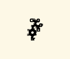 O=C(Cl)C(Cc1ccc(Br)cc1)C(=O)Cl